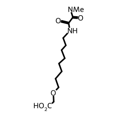 CNC(=O)C(=O)NCCCCCCCCOCC(=O)O